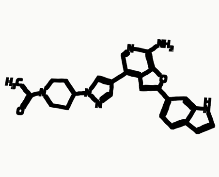 CC(=O)N1CCC(n2cc(-c3cnc(N)c4oc(-c5ccc6cc[nH]c6c5)cc34)cn2)CC1